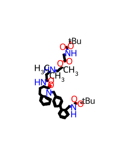 C[C@H](CNC(C)(C)CC(=O)N[C@@H]1CCc2ccccc2N(Cc2ccc(-c3ccccc3CNC(=O)OC(C)(C)C)cc2)C1=O)OC(=O)CNC(=O)OC(C)(C)C